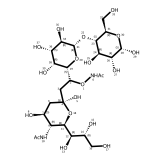 CC(=O)NOC(C[C@]1(O)C[C@H](O)[C@@H](NC(C)=O)[C@H]([C@H](O)[C@H](O)CO)O1)[C@H]1O[C@@H](O[C@H]2[C@H](O)[C@@H](O)[C@@H](O)O[C@@H]2CO)[C@H](O)[C@@H](O)[C@H]1O